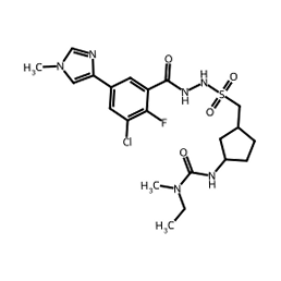 CCN(C)C(=O)NC1CCC(CS(=O)(=O)NNC(=O)c2cc(-c3cn(C)cn3)cc(Cl)c2F)C1